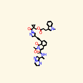 C=C(N[C@@H](C)c1cc2cccc(C#Cc3cnn(C(=O)C4(COC(=O)CCc5cn(C)c6ccccc56)CC4)c3)c2c(=O)n1C(C)O)c1cnn2cccnc12